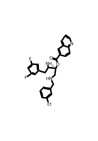 CCc1cccc(CNCC(OC(=O)c2ccc3ncccc3c2)C(N)Cc2cc(F)cc(F)c2)c1